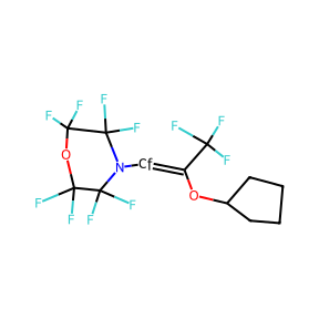 FC(F)(F)[C](OC1CCCC1)=[Cf][N]1C(F)(F)C(F)(F)OC(F)(F)C1(F)F